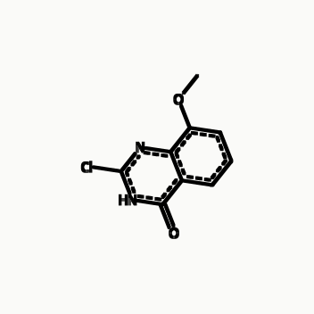 COc1cccc2c(=O)[nH]c(Cl)nc12